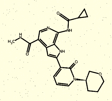 CNC(=O)c1cnc(NC(=O)C2CC2)c2[nH]c(-c3cccn([C@@H]4CCCOC4)c3=O)cc12